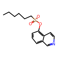 CCCCCCS(=O)(=O)Oc1cccc2cnccc12